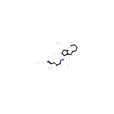 CC(C)=CCC(C)[C@@H](O)/C=C/[C@H]1[C@H](O)CC2[C@@H]1CC1CCCC(C(=O)O)N12